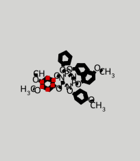 COc1ccc(ON2P(Oc3ccc(OC)cc3)N=P(Oc3ccccc3)(Oc3ccccc3)N(Oc3ccc(OC)cc3)P2Oc2ccc(OC)cc2)cc1